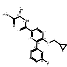 COC(=O)[C@H](NC(=O)c1cnc(OCC2CC2)c(-c2cccc(Cl)c2)n1)C(C)C